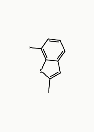 Ic1cc2cccc(I)c2s1